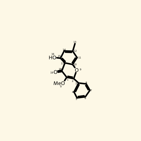 COc1c(-c2ccccc2)oc2cc(C)cc(O)c2c1=O